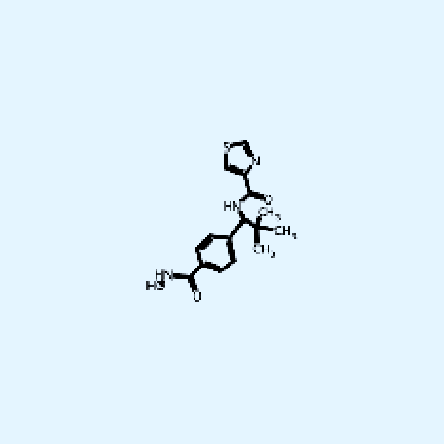 CC(C)(C)C(NC(=O)c1cscn1)c1ccc(C(=O)NO)cc1